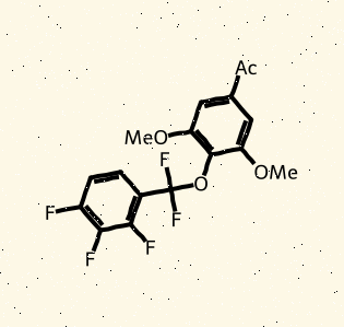 COc1cc(C(C)=O)cc(OC)c1OC(F)(F)c1ccc(F)c(F)c1F